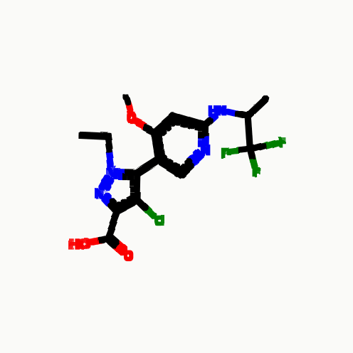 CCn1nc(C(=O)O)c(Cl)c1-c1cnc(NC(C)C(F)(F)F)cc1OC